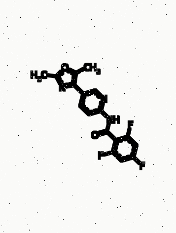 Cc1nc(-c2ccc(NC(=O)c3c(F)cc(F)cc3F)nc2)c(C)o1